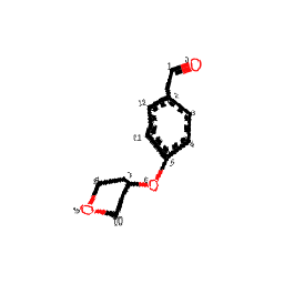 O=Cc1ccc(OC2COC2)cc1